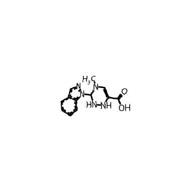 CN1C=C(C(=O)O)NNC1n1ncc2ccccc21